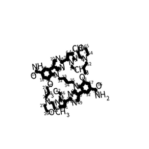 CCn1nc(C)cc1-c1ncc2c3cc(C(N)=O)cc(OCCCN4CCOCC4)c3n(C/C=C/Cn3c4nc(-c5cc(C)nn5CC)ncc4c4cc(C(N)=O)cc(OCCCN5CCOCC5)c43)c2n1